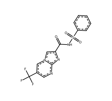 O=C(NS(=O)(=O)c1ccccc1)c1cn2cc(C(F)(F)F)cnc2n1